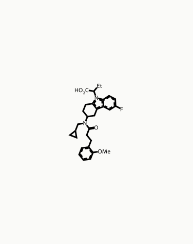 CCC(C(=O)O)n1c2c(c3cc(F)ccc31)CC(N(CC1CC1)C(=O)CCc1ccccc1OC)CC2